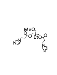 CCC(COC)(COC(=O)CCn1ccnc1)COC(=O)CCn1ccnc1